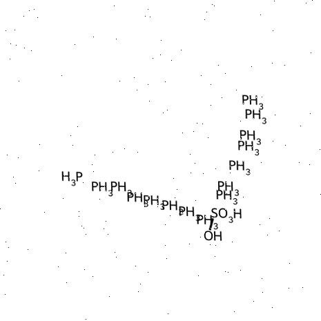 O=S(=O)(O)O.P.P.P.P.P.P.P.P.P.P.P.P.P.P.P